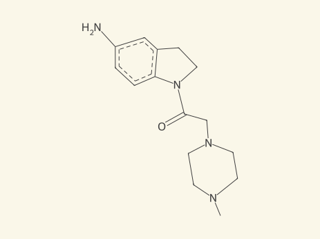 CN1CCN(CC(=O)N2CCc3cc(N)ccc32)CC1